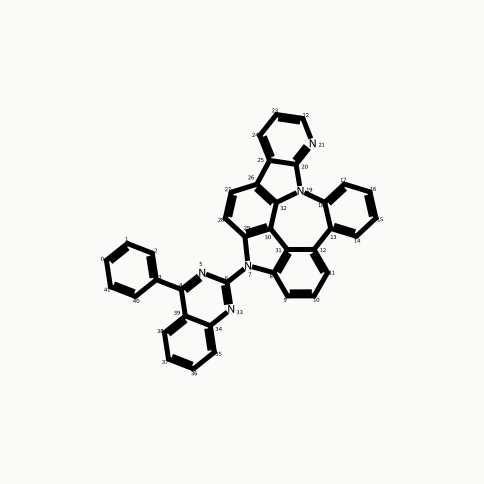 c1ccc(-c2nc(-n3c4cccc5c6ccccc6n6c7ncccc7c7ccc3c(c54)c76)nc3ccccc23)cc1